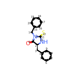 O=C1[C@H](Cc2ccccc2)NC(=S)N1Cc1ccccc1